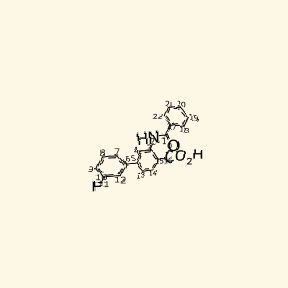 O=C(Nc1cc(-c2cccc(F)c2)ccc1C(=O)O)c1ccccc1